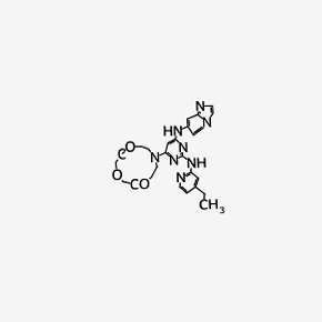 CCc1ccnc(Nc2nc(Nc3ccn4ccnc4c3)cc(N3CCOCCOCCOCC3)n2)c1